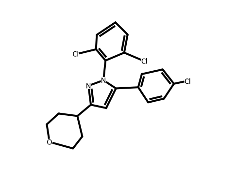 Clc1ccc(-c2cc(C3CCOCC3)nn2-c2c(Cl)cccc2Cl)cc1